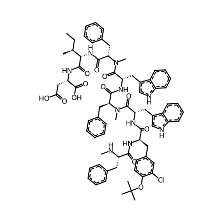 CC[C@H](C)[C@H](NC(=O)[C@H](Cc1ccccc1)N(C)C(=O)[C@H](Cc1c[nH]c2ccccc12)NC(=O)[C@H](Cc1ccccc1)N(C)C(=O)[C@H](Cc1c[nH]c2ccccc12)NC(=O)[C@@H](Cc1ccc(OC(C)(C)C)c(Cl)c1)NC(=O)[C@H](Cc1ccccc1)NC)C(=O)N[C@@H](CC(=O)O)C(=O)O